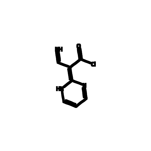 N=C/C(C(=O)Cl)=C1/N=CC=CN1